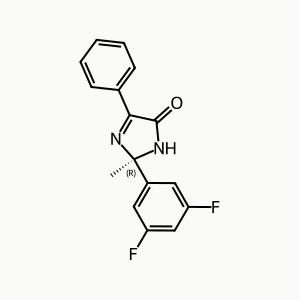 C[C@]1(c2cc(F)cc(F)c2)N=C(c2ccccc2)C(=O)N1